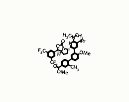 COC(=O)c1ccc(-c2ccc(OC)c(-c3cc(C(C)C)c(N(C)C)nc3[C@@H]3CC[C@H]4[C@@H](c5cc(C(F)(F)F)cc(C(F)(F)F)c5)OC(=O)N34)c2)c(C)c1